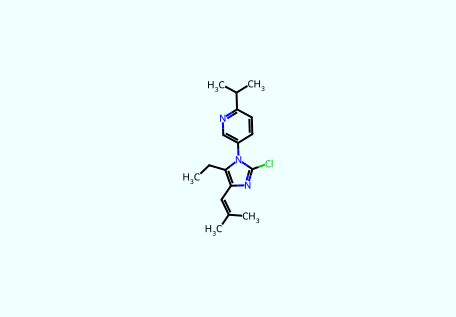 CCc1c(C=C(C)C)nc(Cl)n1-c1ccc(C(C)C)nc1